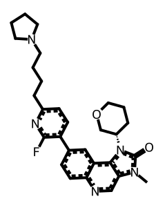 Cn1c(=O)n([C@H]2CCCOC2)c2c3cc(-c4ccc(CCCCN5CCCC5)nc4F)ccc3ncc21